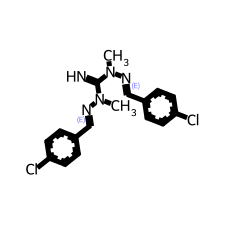 CN(/N=C/c1ccc(Cl)cc1)C(=N)N(C)/N=C/c1ccc(Cl)cc1